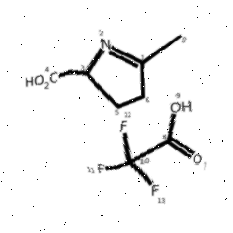 CC1=NC(C(=O)O)CC1.O=C(O)C(F)(F)F